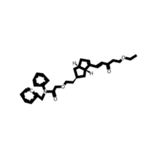 CCOCCC(=O)C=CC1=CC[C@@H]2C[C@H](CCOCC(=O)N(Cc3ccccc3)c3ccccc3)C[C@@H]12